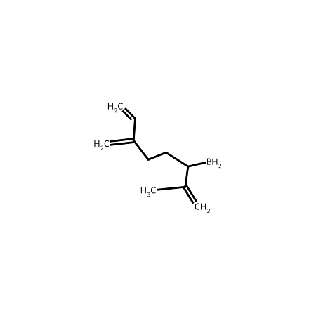 BC(CCC(=C)C=C)C(=C)C